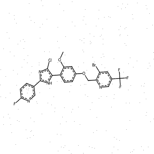 COc1cc(OCc2ncc(C(F)(F)F)cc2Br)ccc1-c1[nH]c(-c2ccc(F)nc2)nc1Cl